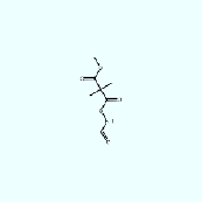 COC(=O)C(C)(C)C(=O)ONC=O